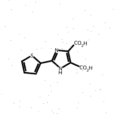 O=C(O)c1nc(-c2cccs2)[nH]c1C(=O)O